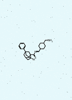 NCC1CCC(/C=N/C(=S)C23CC4C[C@@H]2CC(c2ccccc2)(C4)C3)CC1